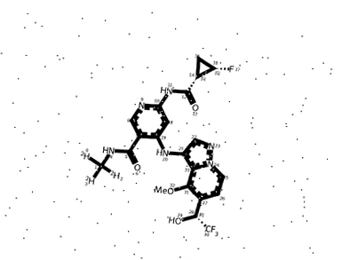 [2H]C([2H])([2H])NC(=O)c1cnc(NC(=O)[C@@H]2C[C@@H]2F)cc1Nc1cnn2ccc([C@@H](O)C(F)(F)F)c(OC)c12